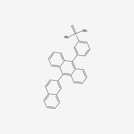 CC(C)(C)P(=O)(c1cccc(-c2c3ccccc3c(-c3ccc4ccccc4c3)c3ccccc23)c1)C(C)(C)C